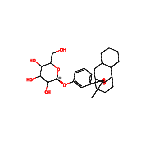 CC1(c2cccc(O[C@@H]3OC(CO)C(O)C(O)C3O)c2)OOC12C1CCCC2C2CCCCC2C1